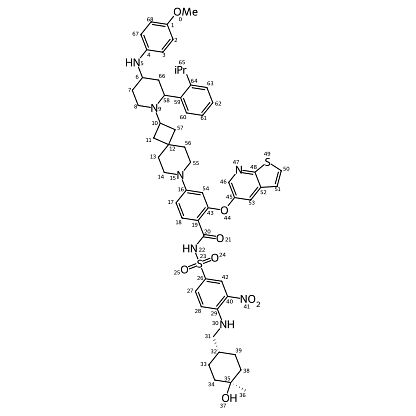 COc1ccc(NC2CCN(C3CC4(CCN(c5ccc(C(=O)NS(=O)(=O)c6ccc(NC[C@H]7CC[C@](C)(O)CC7)c([N+](=O)[O-])c6)c(Oc6cnc7sccc7c6)c5)CC4)C3)C(c3ccccc3C(C)C)C2)cc1